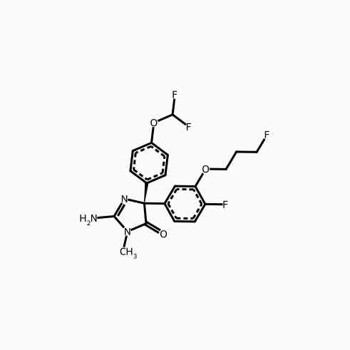 CN1C(=O)[C@@](c2ccc(OC(F)F)cc2)(c2ccc(F)c(OCCCF)c2)N=C1N